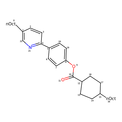 CCCCCCCCc1ccc(-c2ccc(OC(=O)C3CCC(CCCCCCCC)CC3)cc2)nc1